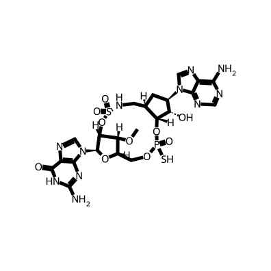 CO[C@H]1[C@H]2OS(=O)(=O)NC[C@H]3C[C@@H](n4cnc5c(N)ncnc54)[C@H](O)[C@@H]3OP(=O)(S)OC[C@H]1O[C@H]2n1cnc2c(=O)[nH]c(N)nc21